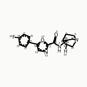 O=C(N[C@H]1CN2CCC1CC2)c1ncc(-c2ccc(F)cc2)o1